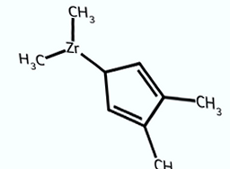 CC1=C[CH]([Zr]([CH3])[CH3])C=C1C